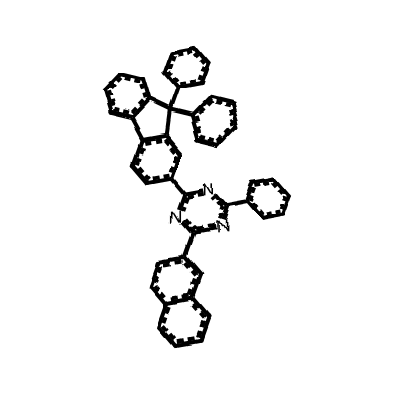 c1ccc(-c2nc(-c3ccc4c(c3)C(c3ccccc3)(c3ccccc3)c3ccccc3-4)nc(-c3ccc4ccccc4c3)n2)cc1